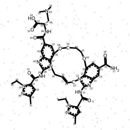 CCn1nc(C)cc1C(=O)Nc1nc2cc(C(N)=O)cc3c2n1C/C=C/Cn1c(NC(=O)c2cc(C)nn2CC)nc2cc(C(=O)N[C@@H](CN(C)C)C(=O)O)cc(c21)OCCCO3